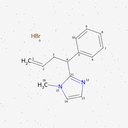 Br.C=CCC(c1ccccc1)c1nccn1C